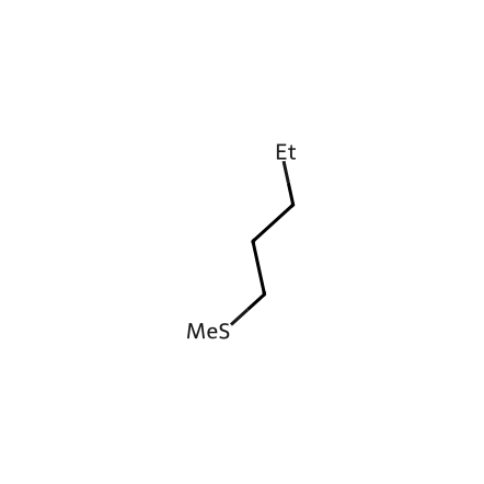 [CH2]CCCCS[CH2]